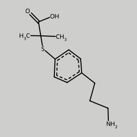 CC(C)(Sc1ccc(CCCN)cc1)C(=O)O